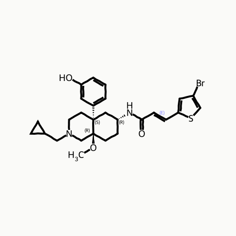 CO[C@]12CC[C@@H](NC(=O)/C=C/c3cc(Br)cs3)C[C@]1(c1cccc(O)c1)CCN(CC1CC1)C2